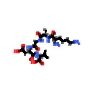 CC(C)[C@H](NC(=O)[C@H](CC(=O)O)NC(=O)CNC(=O)[C@H](C)NC(=O)[C@@H](N)CCCCN)C(=O)O